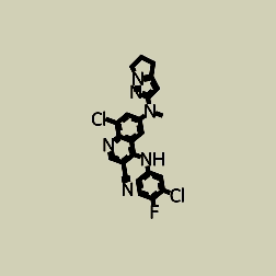 CN(c1cc(Cl)c2ncc(C#N)c(Nc3ccc(F)c(Cl)c3)c2c1)c1cc2n(n1)CCC2